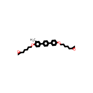 Cc1cc(-c2ccc(-c3ccc(OCCCCCC4CO4)cc3)cc2)ccc1OCCCCCC1CO1